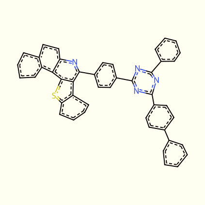 c1ccc(-c2ccc(-c3nc(-c4ccccc4)nc(-c4ccc(-c5nc6ccc7ccccc7c6c6sc7ccccc7c56)cc4)n3)cc2)cc1